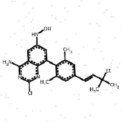 CCC(C)(C)/C=C/c1cc(C)c(-c2cc(NO)cc3c(N)nc(Cl)nc23)c(C)c1